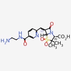 CC1(C)[C@H](C(=O)O)N2C(=O)/C(=C/c3ccc(C(=O)NCCN)cn3)[C@H]2S1(=O)=O